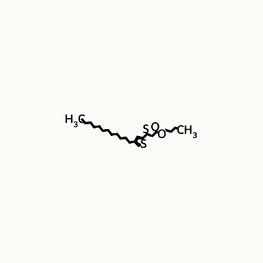 CCCCCCCCCCCCc1csc(C(=S)CC(=O)OCCCC)c1